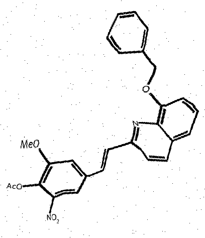 COc1cc(/C=C/c2ccc3cccc(OCc4ccccc4)c3n2)cc([N+](=O)[O-])c1OC(C)=O